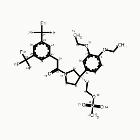 CCOc1ccc([C@@]2(CCOS(C)(=O)=O)CCN(C(=O)Cc3cc(C(F)(F)F)cc(C(F)(F)F)c3)C2)cc1OCC